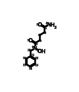 NC(=O)CCCC(=O)N(O)Cc1ccccc1